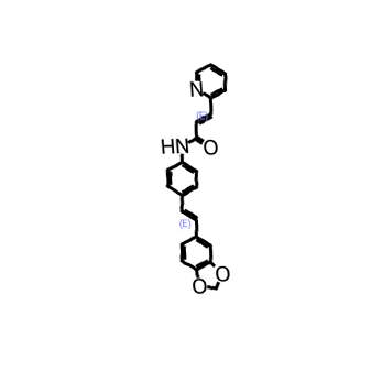 O=C(/C=C/c1ccccn1)Nc1ccc(/C=C/c2ccc3c(c2)OCO3)cc1